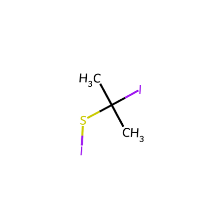 CC(C)(I)SI